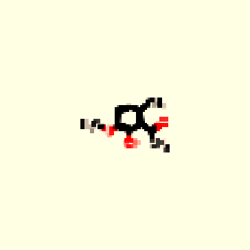 COc1ccc(C)c(C(C)=O)c1O